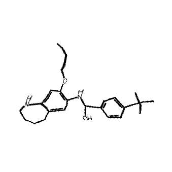 CCCOc1cc2c(cc1NC(O)c1ccc(C(C)(C)C)cc1)CCCCN2